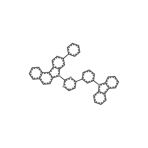 c1ccc(-c2ccc3c4c5ccccc5ccc4n(-c4nccc(-c5cccc(-n6c7ccccc7c7ccccc76)c5)n4)c3c2)cc1